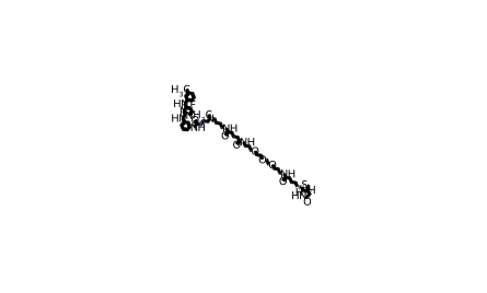 Cc1cccc(Nc2nc(Nc3cccc(NC(=O)/C=C/CN(C)CCCCNC(=O)CCCC(=O)NCCCOCCOCCOCCCNC(=O)CCCC[C@@H]4SC[C@@H]5CC(=O)N[C@@H]54)c3)ncc2F)c1